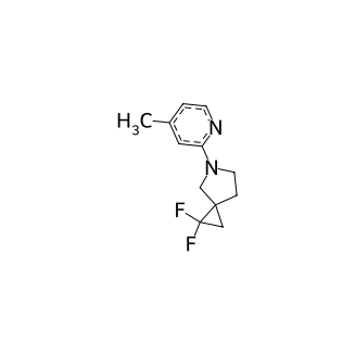 Cc1ccnc(N2CCC3(C2)CC3(F)F)c1